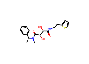 C[C@@H](c1ccccc1)N(C)C(=O)[C@H](O)[C@@H](O)C(=O)NCCc1cccs1